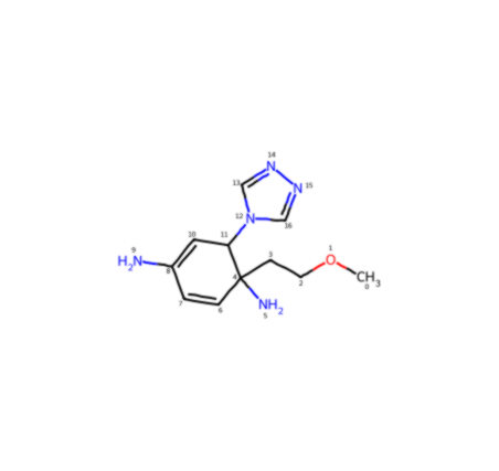 COCCC1(N)C=CC(N)=CC1n1cnnc1